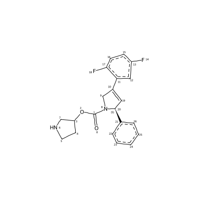 O=C(OC1CCNC1)N1CC(c2cc(F)ccc2F)=C[C@H]1c1ccccc1